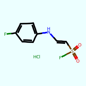 Cl.O=S(=O)(F)/C=C/Nc1ccc(F)cc1